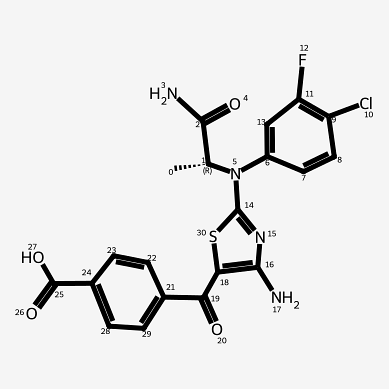 C[C@H](C(N)=O)N(c1ccc(Cl)c(F)c1)c1nc(N)c(C(=O)c2ccc(C(=O)O)cc2)s1